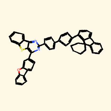 c1ccc2c(c1)-c1cccc(-c3ccc(-c4ccc(-c5nc(-c6ccc7c(c6)oc6ccccc67)c6sc7ccccc7c6n5)cc4)cc3)c1C21CCCCC1